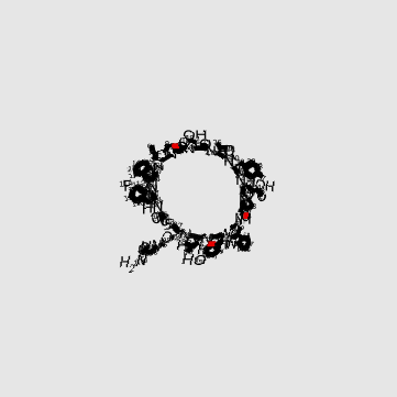 CCCC[C@H]1C(=O)N2CCC[C@@H]2C(=O)N[C@@H](CC(=O)O)C(=O)N[C@@H](C(C)C)C(=O)N(C)[C@@H](Cc2ccc(C)cc2)C(=O)N[C@@H](CCC(=O)O)C(=O)N2CCC[C@@H]2C(=O)N[C@@H](Cc2c[nH]c3ccccc23)C(=O)N[C@@H](Cc2ccc(O)cc2)C(=O)N[C@@H](CC(C)C)C(=O)N[C@H](COCNCC(N)=O)CSCC(=O)N[C@@H](Cc2ccc(F)cc2)C(=O)N(C)C(Cc2ccccc2)C(=O)N1C